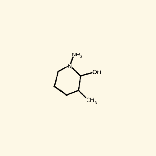 CC1CCCN(N)C1O